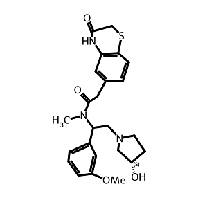 COc1cccc(C(CN2CC[C@H](O)C2)N(C)C(=O)Cc2ccc3c(c2)NC(=O)CS3)c1